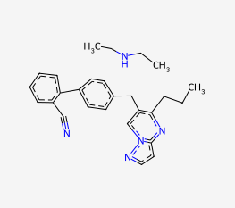 CCCc1nc2ccnn2cc1Cc1ccc(-c2ccccc2C#N)cc1.CCNCC